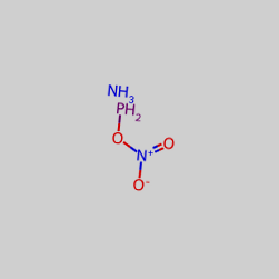 N.O=[N+]([O-])OP